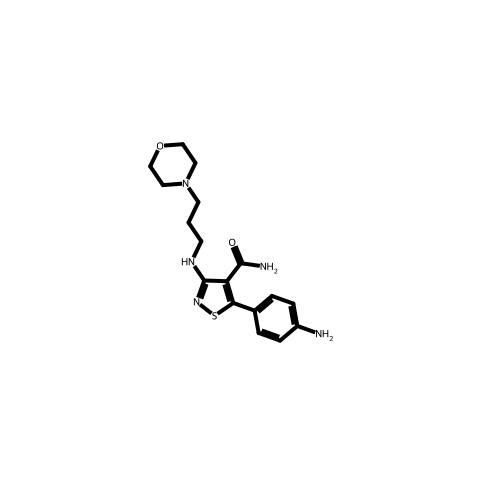 NC(=O)c1c(NCCCN2CCOCC2)nsc1-c1ccc(N)cc1